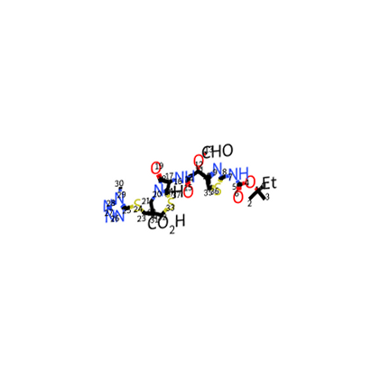 CCC(C)(C)OC(=O)Nc1nc(C(OC=O)C(=O)NC2C(=O)N3CC(CSc4nnnn4C)(C(=O)O)CS[C@H]23)cs1